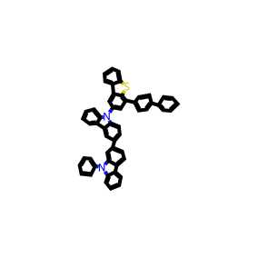 c1ccc(-c2ccc(-c3cc(-n4c5ccccc5c5cc(-c6ccc7c8ccccc8n(-c8ccccc8)c7c6)ccc54)cc4c3sc3ccccc34)cc2)cc1